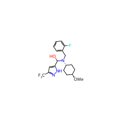 CO[C@H]1CC[C@H](N(Cc2ccccc2F)C(O)c2cc(C(F)(F)F)n[nH]2)CC1